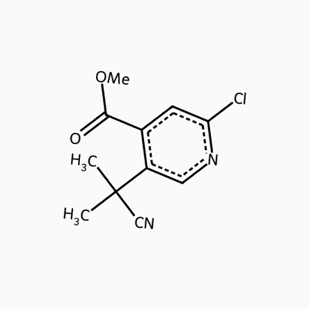 COC(=O)c1cc(Cl)ncc1C(C)(C)C#N